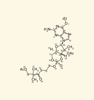 CCOc1nc(N)nc2c1ncn2[C@@H]1O[C@@H]2CO[P@@](=O)(OCCSC(=O)C(C)(C)COC(C)=O)O[C@H]2[C@@]1(C)OC(C)=O